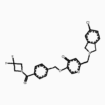 O=C(c1ccc(COc2coc(CN3Cc4ccc(Cl)cc4C3)cc2=O)cc1)N1CC(F)(F)C1